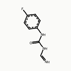 N=CNC(=O)Nc1ccc(F)cc1